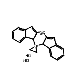 CCCC1=Cc2ccccc2[CH]1[Hf]1([CH]2C(CCC)=Cc3ccccc32)[CH2][CH2]1.Cl.Cl